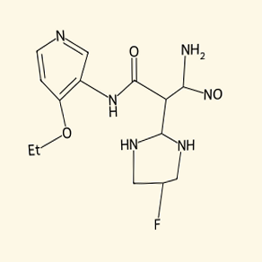 CCOc1ccncc1NC(=O)C(C(N)N=O)C1NCC(F)CN1